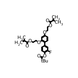 C=C(C)C(=O)OCCOc1ccc(-c2ccc(OC(=O)C(C)(C)C)c(F)c2)c(OCCOC(=O)C(=C)C)c1